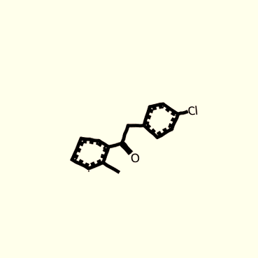 Cc1[c]cccc1C(=O)Cc1ccc(Cl)cc1